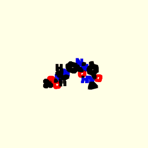 Cc1ccc(C(=O)NC2CC2)cc1-n1cnc2ccc(N3C[C@@H]4C[C@H]3CN4C(=O)OC(C)(C)C)cc2c1=O